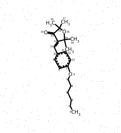 CCCCCCOc1ccc(C=C2C(=O)C(C)(C)OC2(C)C)cc1